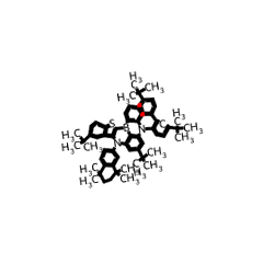 CC(C)(C)c1ccc(-c2cc(C(C)(C)C)ccc2N2c3ccccc3B3c4sc5ccc(C(C)(C)C)cc5c4N(c4ccc5c(c4)C(C)(C)CCC5(C)C)c4cc(C(C)(C)C)cc2c43)cc1